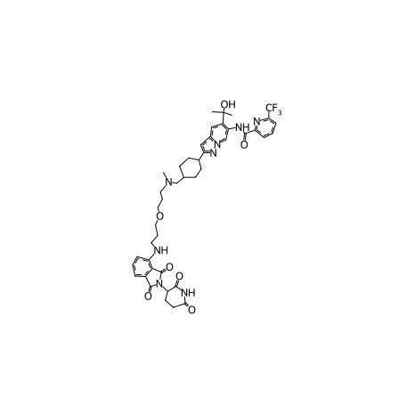 CN(CCCOCCCNc1cccc2c1C(=O)N(C1CCC(=O)NC1=O)C2=O)CC1CCC(c2cc3cc(C(C)(C)O)c(NC(=O)c4cccc(C(F)(F)F)n4)cn3n2)CC1